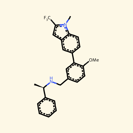 COc1ccc(CN[C@H](C)c2ccccc2)cc1-c1ccc2c(c1)cc(C(F)(F)F)n2C